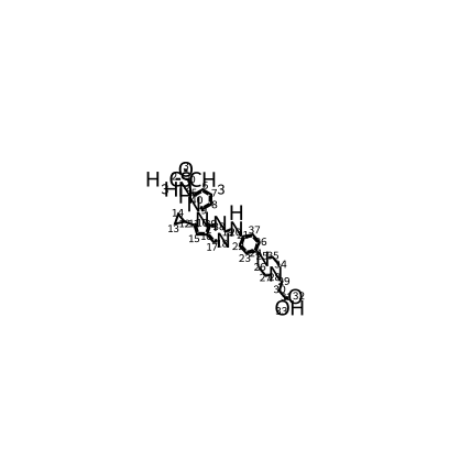 C[SH](C)(=O)Nc1cccc(-n2c(C3CC3)cc3cnc(Nc4ccc(N5CCN(CCC(=O)O)CC5)cc4)nc32)n1